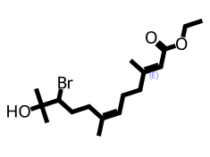 CCOC(=O)/C=C(\C)CCC=C(C)CCC(Br)C(C)(C)O